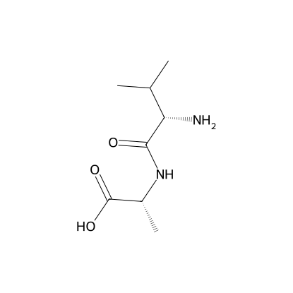 CC(C)[C@H](N)C(=O)N[C@H](C)C(=O)O